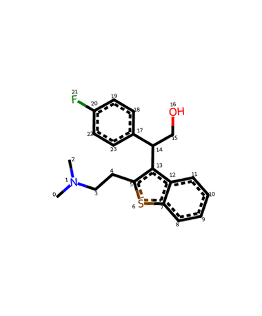 CN(C)CCc1sc2ccccc2c1C(CO)c1ccc(F)cc1